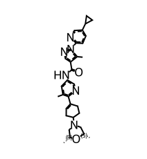 Cc1cc(NC(=O)c2cnn(-c3ccc(C4CC4)cn3)c2C)cnc1C1=CCC(N2C[C@@H](C)O[C@@H](C)C2)CC1